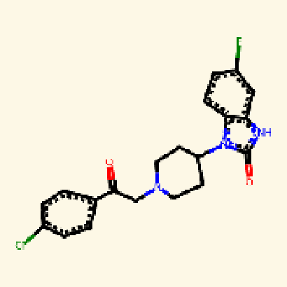 O=C(CN1CCC(n2c(=O)[nH]c3cc(F)ccc32)CC1)c1ccc(Cl)cc1